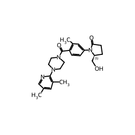 Cc1cnc(N2CCN(C(=O)c3ccc(N4C(=O)CC[C@H]4CO)cc3C)CC2)c(C)c1